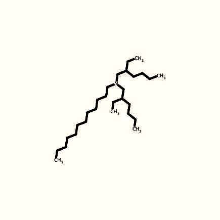 CCCCCCCCCCCCN(CC(CC)CCCC)CC(CC)CCCC